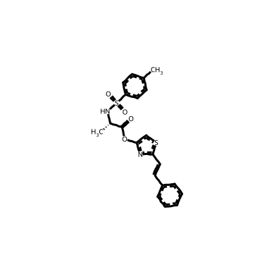 Cc1ccc(S(=O)(=O)N[C@@H](C)C(=O)Oc2csc(C=Cc3ccccc3)n2)cc1